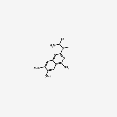 CCC(N)N(C)c1nc(N)c2cc(OC)c(OC)cc2n1